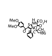 COc1ccc(C(=O)c2sc(NN(C(=O)O)C(=O)OC(C)(C)CC(C)(C)C)nc2-c2ccccc2)cc1OC